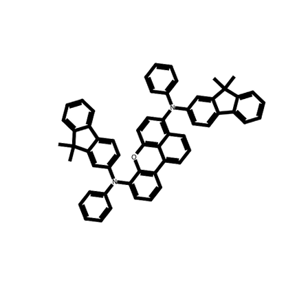 CC1(C)c2ccccc2-c2ccc(N(c3ccccc3)c3cccc4c3Oc3ccc(N(c5ccccc5)c5ccc6c(c5)C(C)(C)c5ccccc5-6)c5cccc-4c35)cc21